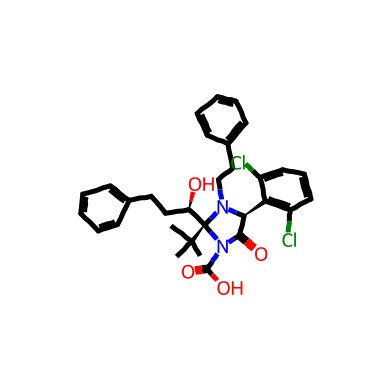 CC(C)(C)[C@]1([C@H](O)CCc2ccccc2)N(C(=O)O)C(=O)[C@H](c2c(Cl)cccc2Cl)N1CCc1ccccc1